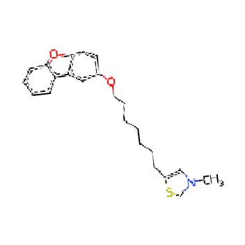 CN1C=C(CCCCCCCOc2ccc3oc4ccccc4c3c2)SC1